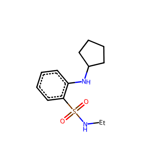 CCNS(=O)(=O)c1ccccc1NC1CCCC1